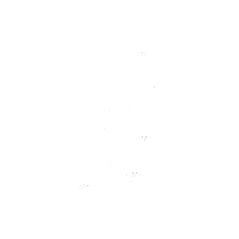 COc1ccc(C=Cc2ccncc2)c(OC)c1OC